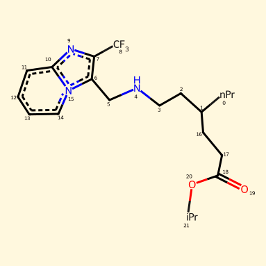 CCCC(CCNCc1c(C(F)(F)F)nc2ccccn12)CCC(=O)OC(C)C